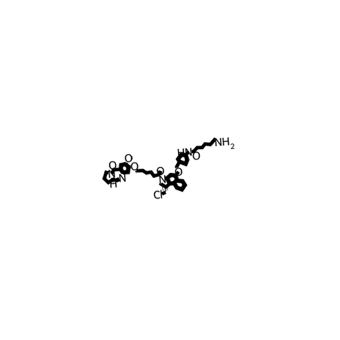 COc1cc2c(cc1OCCCCCC(=O)N1C[C@@H](CCl)c3c1cc(OCc1ccc(NC(=O)CCCCCN)cc1)c1ccccc31)N=C[C@@H]1CCCN1C2=O